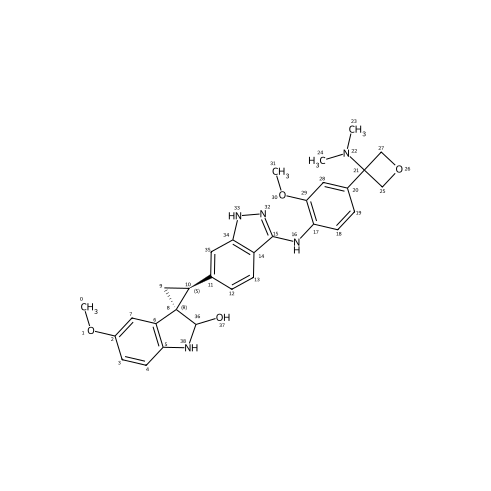 COc1ccc2c(c1)[C@]1(C[C@H]1c1ccc3c(Nc4ccc(C5(N(C)C)COC5)cc4OC)n[nH]c3c1)C(O)N2